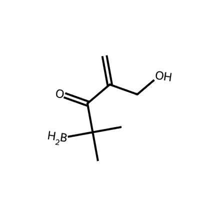 BC(C)(C)C(=O)C(=C)CO